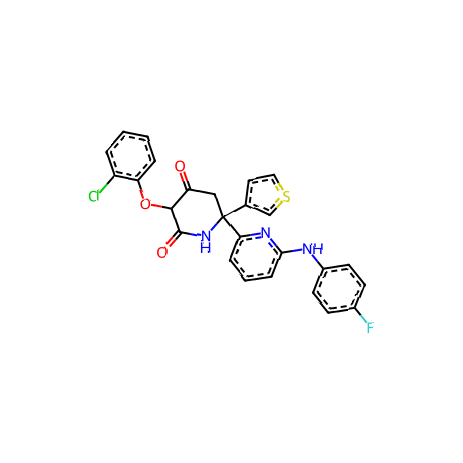 O=C1CC(c2ccsc2)(c2cccc(Nc3ccc(F)cc3)n2)NC(=O)C1Oc1ccccc1Cl